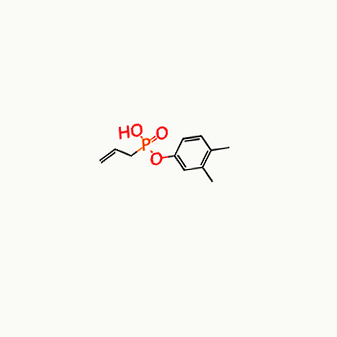 C=CCP(=O)(O)Oc1ccc(C)c(C)c1